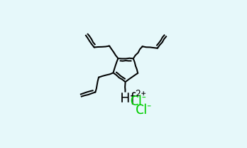 C=CCC1=C(CC=C)C(CC=C)=[C]([Hf+2])C1.[Cl-].[Cl-]